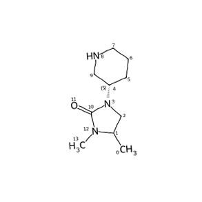 CC1CN([C@H]2CCCNC2)C(=O)N1C